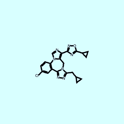 Clc1ccc2c(c1)-c1nnc(CC3CC3)n1Cc1c(-c3noc(C4CC4)n3)ncn1-2